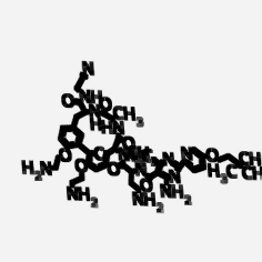 Cc1nc(-c2ccc(OCCC(C)(C)C)cn2)nc(N)c1C(=O)NC(CCN)C(=O)N(C)C1C(=O)NC(C)C(=O)NC(C(=O)NCC#N)Cc2ccc(OCCN)c(c2)-c2cc1ccc2OCCN